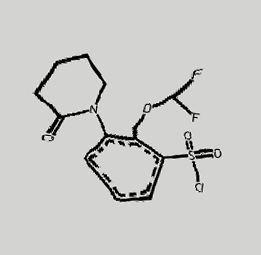 O=C1CCCCN1c1cccc(S(=O)(=O)Cl)c1OC(F)F